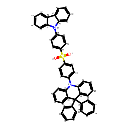 O=S(=O)(c1ccc(N2c3ccccc3C(c3ccccc3)(c3ccccc3)c3ccccc32)cc1)c1ccc(-n2c3ccccc3c3ccccc32)cc1